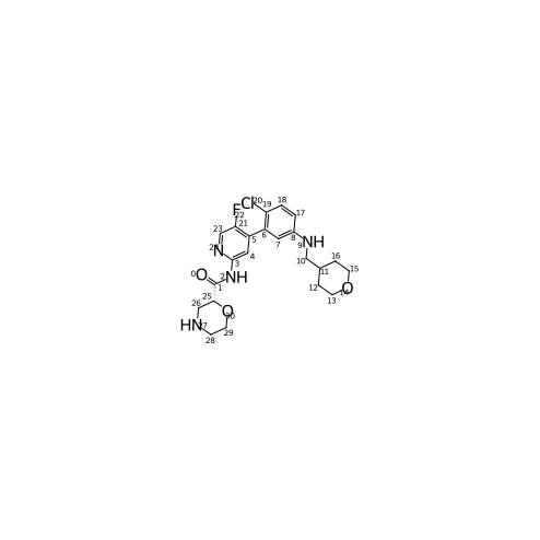 O=C(Nc1cc(-c2cc(NCC3CCOCC3)ccc2Cl)c(F)cn1)[C@H]1CNCCO1